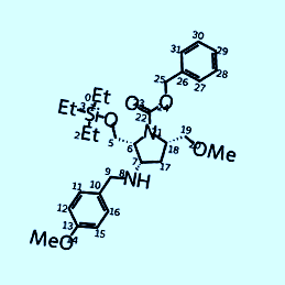 CC[Si](CC)(CC)OC[C@H]1[C@@H](NCc2ccc(OC)cc2)C[C@@H](COC)N1C(=O)OCc1ccccc1